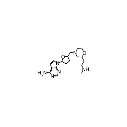 CNCCC1CN(CC2CCC(n3ccc4c(N)ncnc43)O2)CCO1